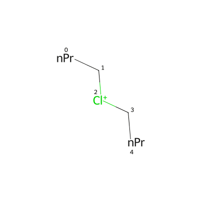 CCCC[Cl+]CCCC